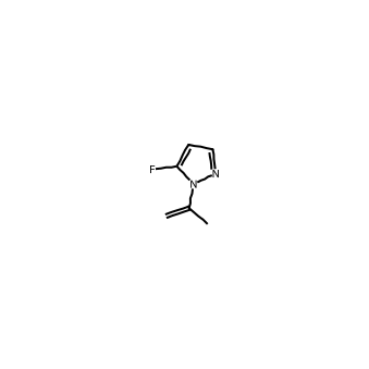 C=C(C)n1nccc1F